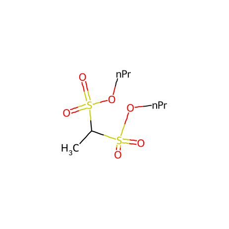 CCCOS(=O)(=O)C(C)S(=O)(=O)OCCC